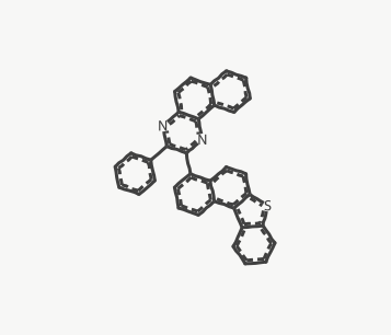 c1ccc(-c2nc3ccc4ccccc4c3nc2-c2cccc3c2ccc2sc4ccccc4c23)cc1